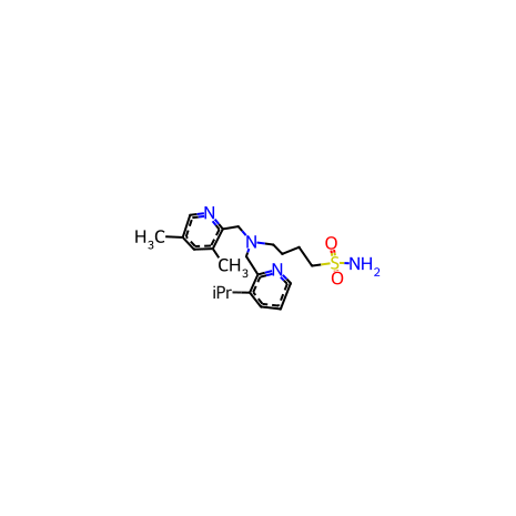 Cc1cnc(CN(CCCCS(N)(=O)=O)Cc2ncccc2C(C)C)c(C)c1